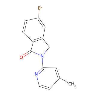 Cc1ccnc(N2Cc3cc(Br)ccc3C2=O)c1